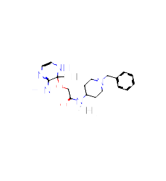 CN(C(=O)COC1(C)NC=CN=C1N)C1CCN(Cc2ccccc2)CC1